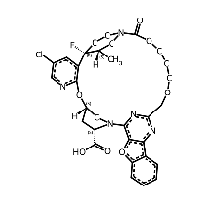 C[C@H]1CN2CC[C@]1(F)c1cc(Cl)cnc1O[C@H]1C[C@@H](C(=O)O)N(C1)c1nc(nc3c1oc1ccccc13)COCCCOC2=O